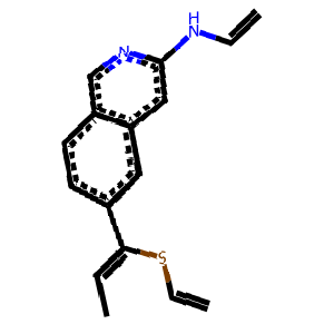 C=CNc1cc2cc(/C(=C/C)SC=C)ccc2cn1